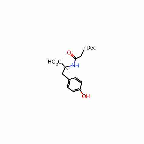 CCCCCCCCCCCC(=O)N[C@@H](Cc1ccc(O)cc1)C(=O)O